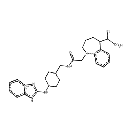 CCC(C(=O)O)C1CCCN(CC(=O)NCC2CCC(Nc3nc4ccccc4[nH]3)CC2)c2ccccc21